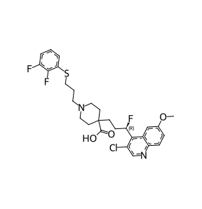 COc1ccc2ncc(Cl)c([C@H](F)CCC3(C(=O)O)CCN(CCCSc4cccc(F)c4F)CC3)c2c1